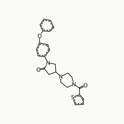 O=C(c1cccs1)N1CCN(C2CC(=O)N(c3ccc(Oc4ccccc4)cc3)C2)CC1